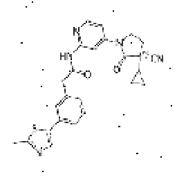 Cc1ncc(-c2cccc(CC(=O)Nc3cc(N4CC[C@@](C#N)(C5CC5)C4=O)ccn3)c2)s1